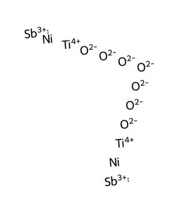 [Ni].[Ni].[O-2].[O-2].[O-2].[O-2].[O-2].[O-2].[O-2].[Sb+3].[Sb+3].[Ti+4].[Ti+4]